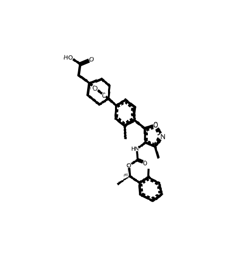 Cc1cc(C23CCC(CC(=O)O)(CC2)OC3)ccc1-c1onc(C)c1NC(=O)O[C@H](C)c1ccccc1C